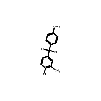 CCC(CC)(c1ccc(OC)cc1)c1ccc(O)c(C)c1